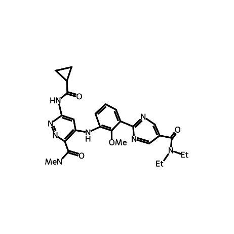 CCN(CC)C(=O)c1cnc(-c2cccc(Nc3cc(NC(=O)C4CC4)nnc3C(=O)NC)c2OC)nc1